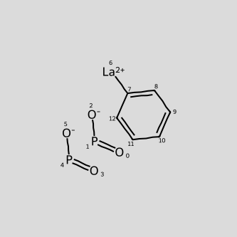 O=P[O-].O=P[O-].[La+2][c]1ccccc1